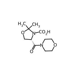 CC1(C)OC[C@@H](C(=O)N2CCOCC2)N1C(=O)O